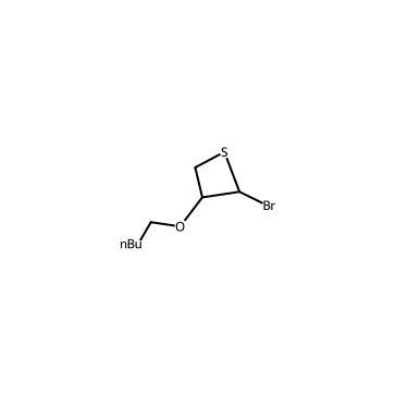 CCCCCOC1CSC1Br